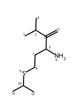 C=C(C(C)C)C(N)CCSC(C)C